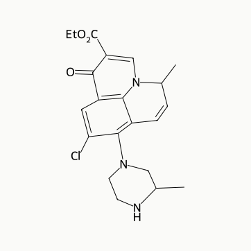 CCOC(=O)c1cn2c3c(c(N4CCNC(C)C4)c(Cl)cc3c1=O)C=CC2C